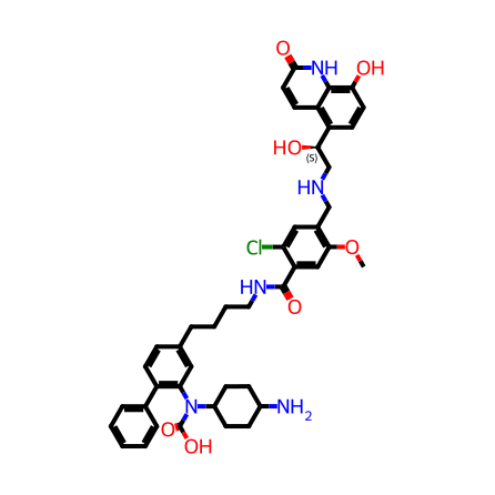 COc1cc(C(=O)NCCCCc2ccc(-c3ccccc3)c(N(C(=O)O)C3CCC(N)CC3)c2)c(Cl)cc1CNC[C@@H](O)c1ccc(O)c2[nH]c(=O)ccc12